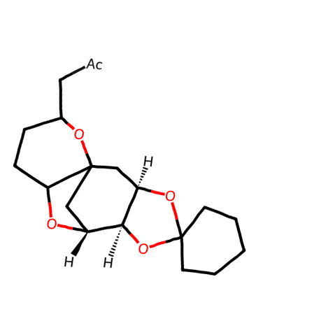 CC(=O)CC1CCC2O[C@@H]3CC2(C[C@H]2OC4(CCCCC4)O[C@@H]32)O1